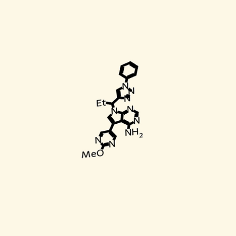 CCC(c1cn(-c2ccccc2)nn1)n1cc(-c2cnc(OC)nc2)c2c(N)ncnc21